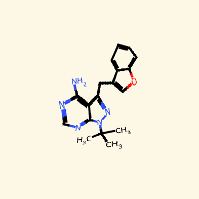 CC(C)(C)n1nc(Cc2coc3ccccc23)c2c(N)ncnc21